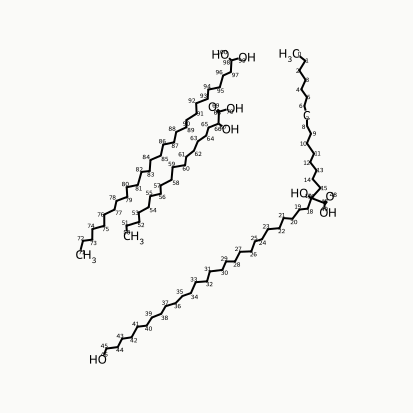 CCCCCCCCCCCCCCCCC(O)(CCCCCCCCCCCCCCCCCCCCCCCCCCCCO)C(=O)O.CCCCCCCCCCCCCCCCC(O)C(=O)O.CCCCCCCCCCCCCCCCCCCCCCCCCCCC(O)O